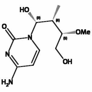 CO[C@H](CO)[C@@H](C)[C@@H](O)n1ccc(N)nc1=O